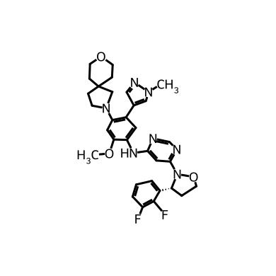 COc1cc(N2CCC3(CCOCC3)C2)c(-c2cnn(C)c2)cc1Nc1cc(N2OCC[C@@H]2c2cccc(F)c2F)ncn1